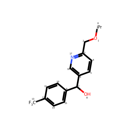 CC(C)OCc1ccc(C(O)c2ccc(C(F)(F)F)cc2)cn1